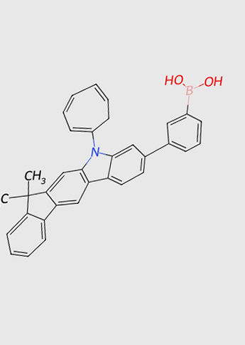 CC1(C)c2ccccc2-c2cc3c4ccc(-c5cccc(B(O)O)c5)cc4n(C4=CC=CC=CC4)c3cc21